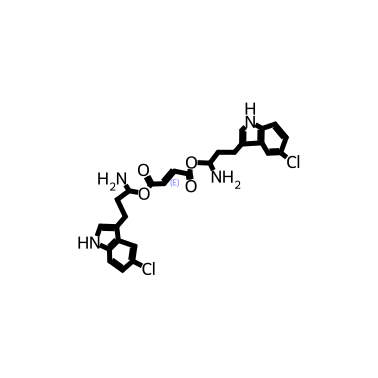 NC(CCc1c[nH]c2ccc(Cl)cc12)OC(=O)/C=C/C(=O)OC(N)CCc1c[nH]c2ccc(Cl)cc12